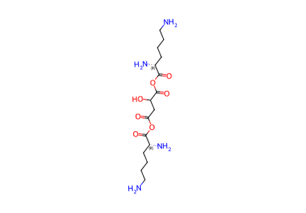 NCCCC[C@@H](N)C(=O)OC(=O)CC(O)C(=O)OC(=O)[C@H](N)CCCCN